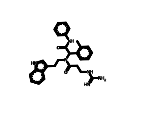 Cc1ccccc1C(C(=O)Nc1ccccc1)N(CCc1c[nH]c2ccccc12)C(=O)CCNC(=N)N